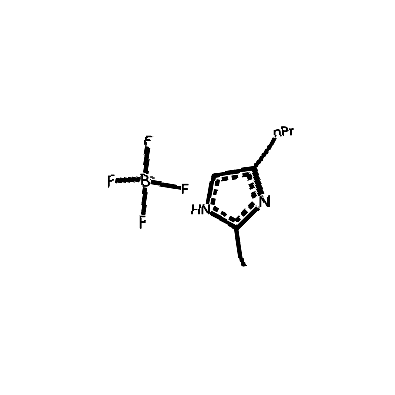 CCCc1c[nH]c(C)n1.F[B-](F)(F)F